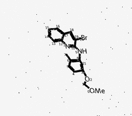 COCOc1ccc(C)c(Nc2nc3ccccc3cc2Br)c1